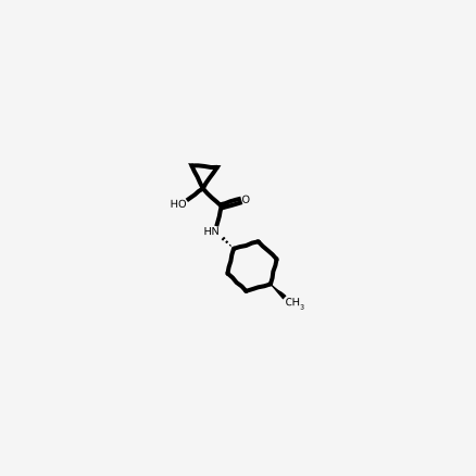 C[C@H]1CC[C@H](NC(=O)C2(O)CC2)CC1